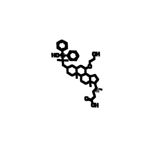 C[C@H](CCC(=O)O)C1CCC2C3C(OCCO)CC4CC(CC(C)(C)[Si](O)(c5ccccc5)c5ccccc5)CCC4(C)C3CCC21C